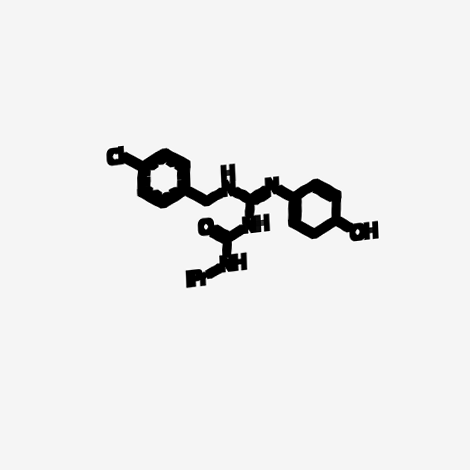 CC(C)NC(=O)N/C(=N\C1=CCC(O)C=C1)NCc1ccc(Cl)cc1